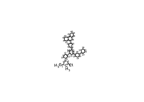 C\C=C/C=C(\C=C(/C)CC)c1cccc(-c2cc(-c3cccc(-c4ccccc4)c3)nc(-c3ccc(-c4cc5ccccc5c5ccccc45)cc3)n2)c1